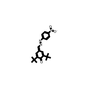 CC(C)(C)C1=CC(=C/N=N/c2ccc([N+](=O)[O-])cc2)C=C(C(C)(C)C)C1=O